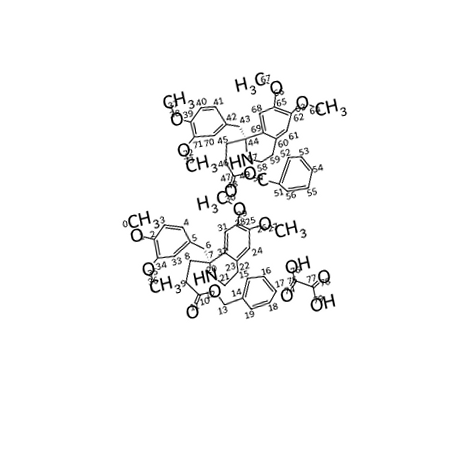 COc1ccc(C[C@@]2(CCC(=O)OCc3ccccc3)NCCc3cc(OC)c(OC)cc32)cc1OC.COc1ccc(C[C@@]2(CCC(=O)OCc3ccccc3)NCCc3cc(OC)c(OC)cc32)cc1OC.O=C(O)C(=O)O